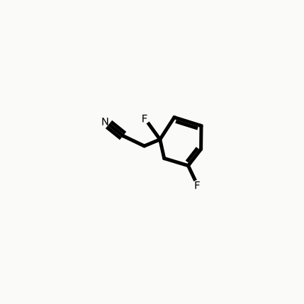 N#CCC1(F)C=CC=C(F)C1